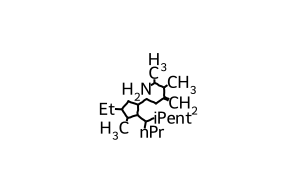 C=C(CCC1CC(CC)C(C)C1C(CCC)C(C)CCC)C(C)C(C)N